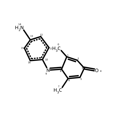 CC1=CC(=O)C=C(C)C1=Nc1ccc(N)cc1